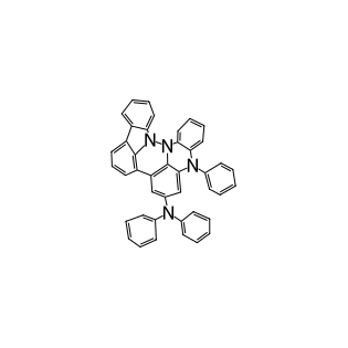 c1ccc(N(c2ccccc2)c2cc3c4c(c2)n(-c2ccccc2)c2ccccc2n-4n2c4ccccc4c4cccc3c42)cc1